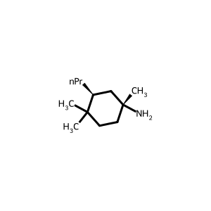 CCC[C@H]1C[C@](C)(N)CCC1(C)C